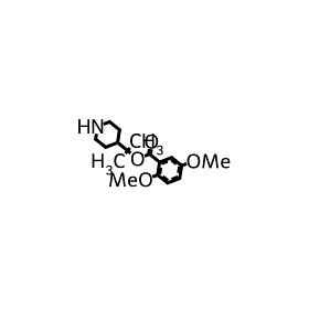 COc1ccc(OC)c(C(=O)OC(C)(C)C2CCNCC2)c1